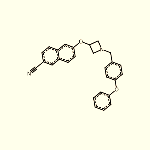 N#Cc1ccc2cc(OC3CN(Cc4ccc(Oc5ccccc5)cc4)C3)ccc2c1